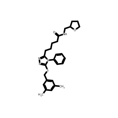 Cc1cc(C)cc(CSc2nnc(CCCCC(=O)NCC3CCCO3)n2-c2ccccc2)c1